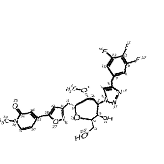 CO[C@@H]1[C@@H](n2cc(-c3cc(F)c(F)c(F)c3)nn2)[C@@H](O)[C@@H](CO)O[C@@H]1Cc1cc(-c2ccn(C)c(=O)c2)on1